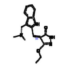 CCOC1=NNC(=O)/C1=C\c1[nH]c2ccccc2c1CN(C)C